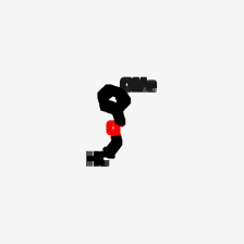 C#CCOCc1cccc(OC)c1